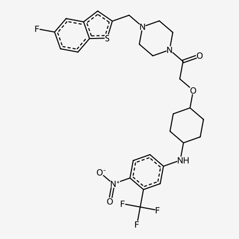 O=C(COC1CCC(Nc2ccc([N+](=O)[O-])c(C(F)(F)F)c2)CC1)N1CCN(Cc2cc3cc(F)ccc3s2)CC1